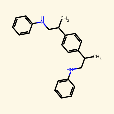 CC(CNc1ccccc1)c1ccc(C(C)CNc2ccccc2)cc1